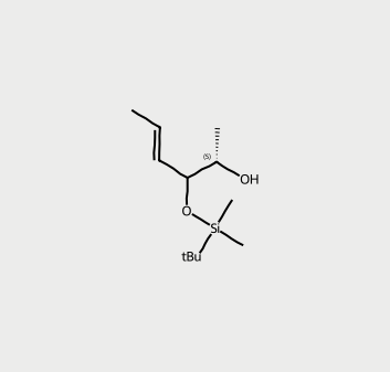 CC=CC(O[Si](C)(C)C(C)(C)C)[C@H](C)O